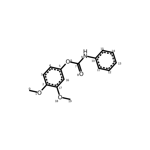 COc1ccc(OC(=O)Nc2ccccc2)cc1OC